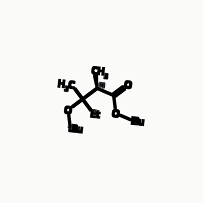 CCC(C)OC(=O)[C@H](C)C(C)(CC)OC(C)(C)C